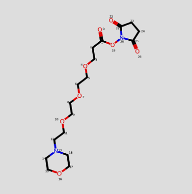 O=C(CCOCCOCCOCCN1CCOCC1)ON1C(=O)CCC1=O